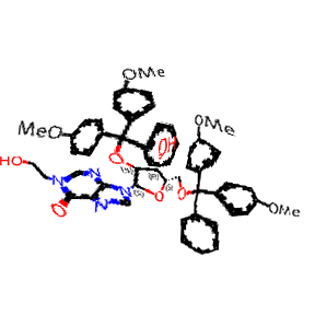 COc1ccc(C(OC[C@@H]2O[C@H](n3cnc4c(=O)n(CCO)cnc43)[C@@H](OC(c3ccccc3)(c3ccc(OC)cc3)c3ccc(OC)cc3)[C@@H]2O)(c2ccccc2)c2ccc(OC)cc2)cc1